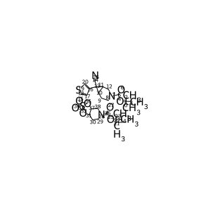 CC(C)(C)OC(=O)N1CCC2C(C1)C2(C#N)c1ccsc1.CC(C)(C)OC(=O)N1CCC2OS(=O)(=O)OC2C1